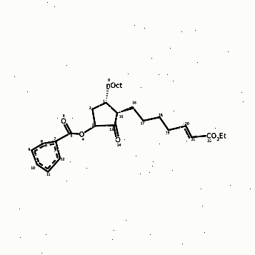 CCCCCCCC[C@H]1CC(OC(=O)c2ccccc2)C(=O)[C@@H]1CCCCC=CC(=O)OCC